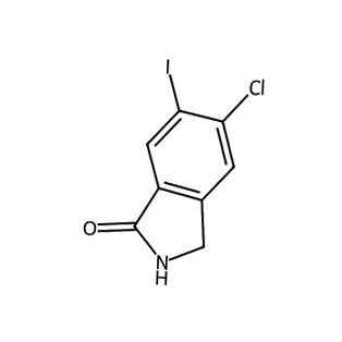 O=C1NCc2cc(Cl)c(I)cc21